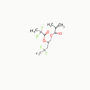 C=C(C)C(=O)OCC(CC(F)(F)C(F)(F)F)OC(=O)C(C)(F)F